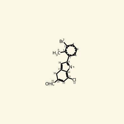 Cc1c(Br)cccc1C1=NC2=C(Cl)C=C(C=O)CC2=C1